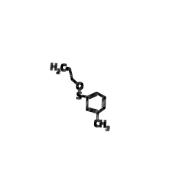 C=CCOSc1cccc(C)c1